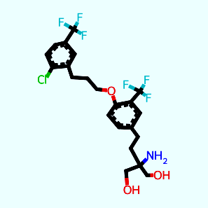 NC(CO)(CO)CCc1ccc(OCCCc2cc(C(F)(F)F)ccc2Cl)c(C(F)(F)F)c1